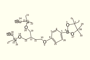 CC1(C)OB(c2ccc(OCCC(CO[Si](C)(C)C(C)(C)C)CO[Si](C)(C)C(C)(C)C)cc2)OC1(C)C